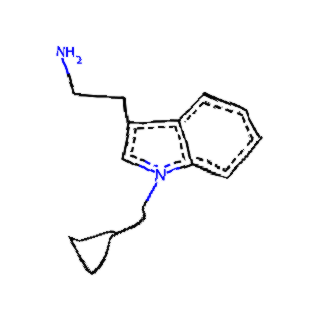 NCCc1cn(CC2CC2)c2ccccc12